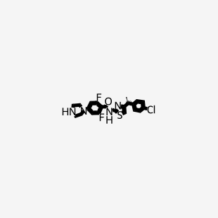 C[C@H](c1ccc(Cl)cc1)c1csc(NC(=O)c2c(F)cc(N3CCNCC3)cc2F)n1